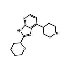 c1cc(C2CCNCC2)c2nc(C3CCCCO3)[nH]c2n1